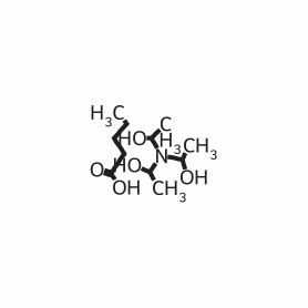 CC(O)N(C(C)O)C(C)O.CCCCC(=O)O